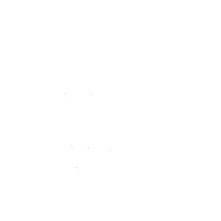 CC(O)(Cn1cncn1)c1ccc(Oc2ccc(F)cc2)cc1C(F)(F)F.c1c[nH]cn1